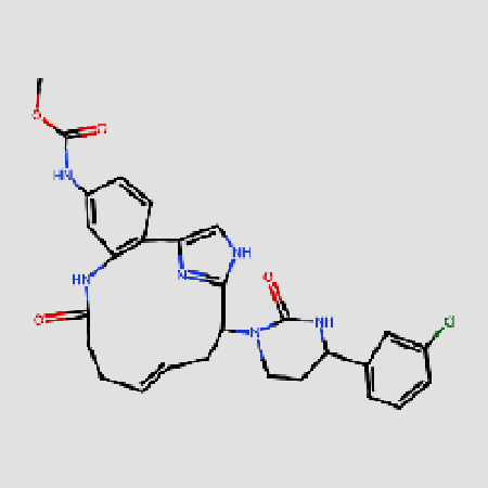 COC(=O)Nc1ccc2c(c1)NC(=O)CC/C=C/C[C@H](N1CCC(c3cccc(Cl)c3)NC1=O)c1nc-2c[nH]1